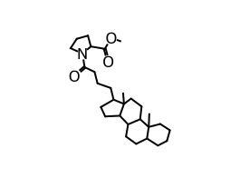 COC(=O)C1CCCN1C(=O)CCCC1CCC2C3CCC4CCCCC4(C)C3CCC12C